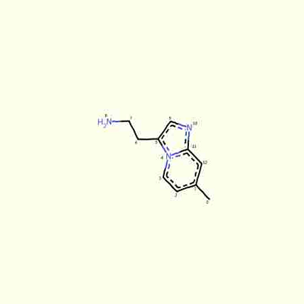 Cc1ccn2c(CCN)cnc2c1